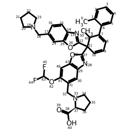 Cc1ccccc1C1=CC=CC(c2nc3ccc(CN4CCCC4)cc3o2)(c2nc3cc(CN4CCC[C@H]4C(=O)O)c(OC(F)F)cc3o2)C1C